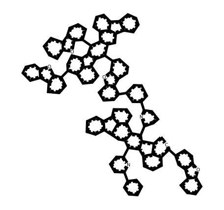 c1ccc(-c2cccc(-c3c4cc5c6ccccc6c6cccc(c4c(-c4cccc(-c7cccc(-c8cccc9oc%10c(-c%11c%12cc%13c%14ccccc%14c%14cccc(c%12c(-c%12cccc%15c%12oc%12ccccc%12%15)c%12c%15ccc(-c%16cccc%17c%16oc%16ccccc%16%17)c%16cccc(c%11%12)c%16%15)c%14%13)cccc%10c89)c7)n4)c4c7ccc(-c8ccc9oc%10ccccc%10c9c8)c8cccc(c34)c87)c65)n2)cc1